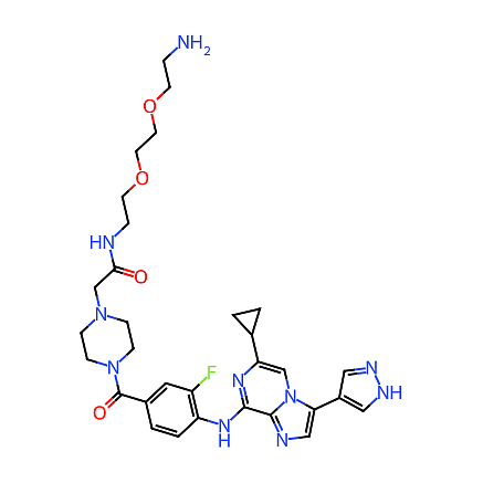 NCCOCCOCCNC(=O)CN1CCN(C(=O)c2ccc(Nc3nc(C4CC4)cn4c(-c5cn[nH]c5)cnc34)c(F)c2)CC1